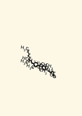 CCCCCCC(O)(C=Cc1ccc(C(CC)(CC)c2ccc(OCC3=CCC(=O)O3)c(C)c2)cc1C)CC